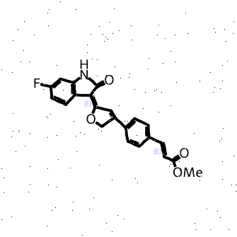 COC(=O)/C=C/c1ccc(C2=C/C(=C3\C(=O)Nc4cc(F)ccc43)OC2)cc1